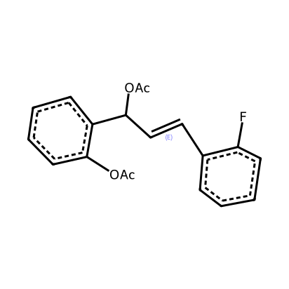 CC(=O)Oc1ccccc1C(/C=C/c1ccccc1F)OC(C)=O